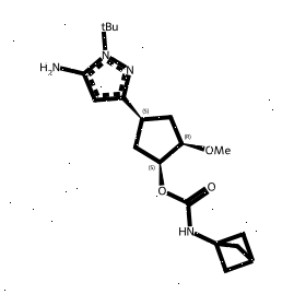 CO[C@@H]1C[C@H](c2cc(N)n(C(C)(C)C)n2)C[C@@H]1OC(=O)NC12CC(C1)C2